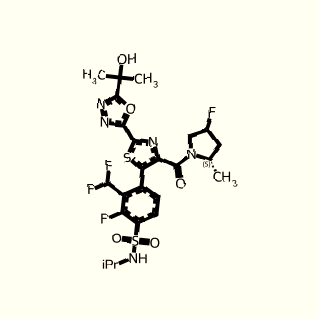 CC(C)NS(=O)(=O)c1ccc(-c2sc(-c3nnc(C(C)(C)O)o3)nc2C(=O)N2CC(F)C[C@@H]2C)c(C(F)F)c1F